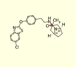 CC(=O)N1[C@@H]2CC[C@H]1C[C@@H](NCCc1ccc(Oc3nc4ccc(Cl)cc4s3)cc1)C2